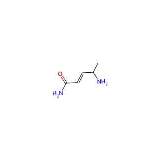 CC(N)C=CC(N)=O